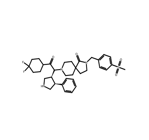 CS(=O)(=O)c1ccc(CN2CCC3(CCN(C(C(=O)C4CCC(F)(F)CC4)[C@@H]4CNC[C@@H]4c4ccccc4)CC3)C2=O)cc1